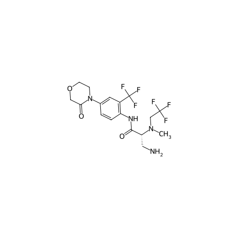 CN(CC(F)(F)F)[C@H](CN)C(=O)Nc1ccc(N2CCOCC2=O)cc1C(F)(F)F